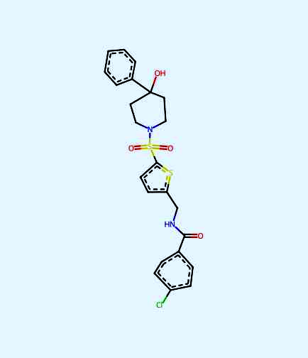 O=C(NCc1ccc(S(=O)(=O)N2CCC(O)(c3ccccc3)CC2)s1)c1ccc(Cl)cc1